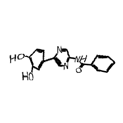 O=C(Nc1cnc(-c2ccc(O)c(O)c2)cn1)c1ccccc1